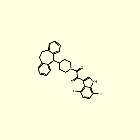 O=C(C(=O)N1CCC(C2c3ccccc3CCc3ccccc32)CC1)c1c[nH]c2c(Br)ccc(F)c12